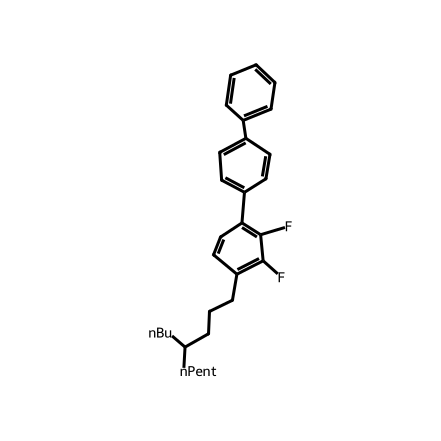 CCCCCC(CCCC)CCCc1ccc(-c2ccc(-c3ccccc3)cc2)c(F)c1F